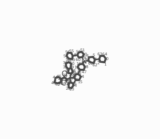 c1ccc(-c2ccc(N(c3ccc(-c4ccc5c(c4)C4(c6ccccc6-5)c5ccc6ccccc6c5Oc5c4ccc4ccccc54)cc3)c3cccc(-c4ccccc4)c3)cc2)cc1